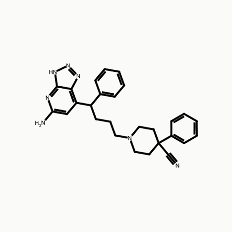 N#CC1(c2ccccc2)CCN(CCCC(c2ccccc2)c2cc(N)nc3[nH]nnc23)CC1